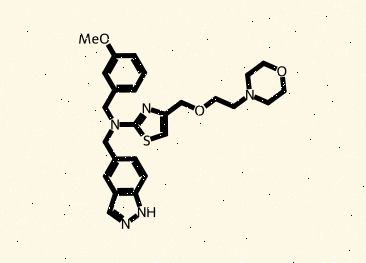 COc1cccc(CN(Cc2ccc3[nH]ncc3c2)c2nc(COCCN3CCOCC3)cs2)c1